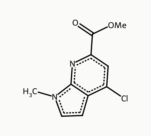 COC(=O)c1cc(Cl)c2ccn(C)c2n1